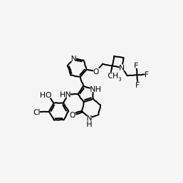 CC1(COc2cnccc2-c2[nH]c3c(c2Nc2cccc(Cl)c2O)C(=O)NCC3)CCN1CC(F)(F)F